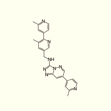 Cc1cc(-c2cnn3c(NCc4cnc(-c5ccnc(C)c5)c(C)c4)nnc3c2)ccn1